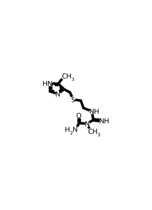 Cc1[nH]cnc1CSCCNC(=N)N(C)C(N)=O